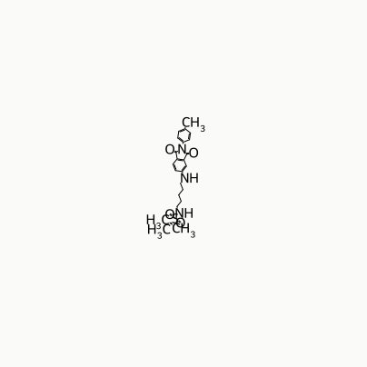 Cc1ccc(N2C(=O)c3ccc(NCCCCCNS(=O)(=O)C(C)(C)C)cc3C2=O)cc1